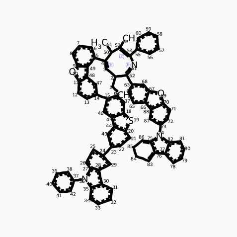 CCC1/C=C(/c2cccc3oc4ccc(-c5ccc6sc7ccc(-c8ccc9c(c8)c8ccccc8n9-c8ccccc8)cc7c6c5)cc4c23)C(C)/C(C)=C(c2ccccc2)\N=C/1c1ccc2c(c1)oc1ccc(-n3c4c(c5ccccc53)=CCCC=4)cc12